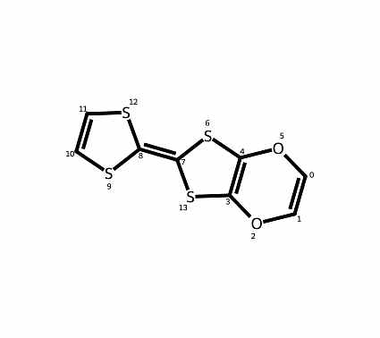 C1=COC2=C(O1)SC(=C1SC=CS1)S2